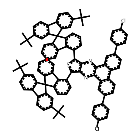 CC(C)(C)c1ccc2c(c1)C1(c3cc(C(C)(C)C)ccc3-2)c2ccccc2-c2c(-c3sc(-c4cccc5c4-c4ccccc4C54c5cc(C(C)(C)C)ccc5-c5ccc(C(C)(C)C)cc54)c4nc5c6cc(-c7ccc(Cl)cc7)ccc6c6ccc(-c7ccc(Cl)cc7)cc6c5nc34)cccc21